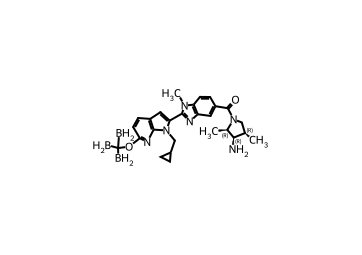 BC(B)(B)Oc1ccc2cc(-c3nc4cc(C(=O)N5C[C@@H](C)[C@@H](N)[C@H]5C)ccc4n3C)n(CC3CC3)c2n1